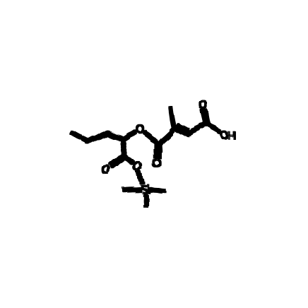 CCCC(OC(=O)/C(C)=C/C(=O)O)C(=O)O[Si](C)(C)C